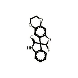 O=C1Nc2ccccc2C12c1cc3c(cc1OC2F)OCCO3